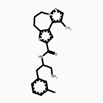 Cc1cnn2c1-c1cc(C(=O)NC(CN)Cc3cccc(F)c3)sc1CCC2